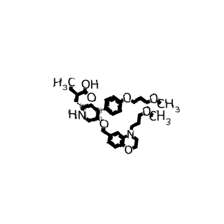 CCC(C[C@@H]1C[C@H](c2ccc(OCCCOC)cc2)[C@@H](OCc2ccc3c(c2)N(CCCOC)CCO3)CN1)C(=O)O